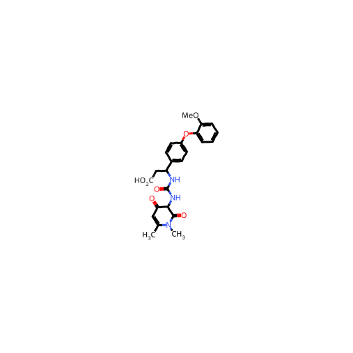 COc1ccccc1Oc1ccc(C(CC(=O)O)NC(=O)NC2C(=O)C=C(C)N(C)C2=O)cc1